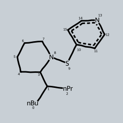 CCCCC(CCC)C1CCCCN1Sc1ccncc1